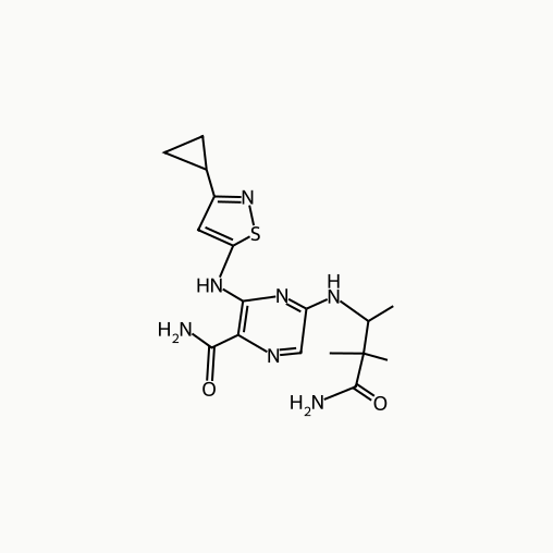 CC(Nc1cnc(C(N)=O)c(Nc2cc(C3CC3)ns2)n1)C(C)(C)C(N)=O